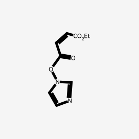 CCOC(=O)/C=C\C(=O)On1ccnc1